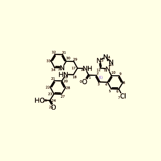 O=C(/C=C/c1cc(Cl)ccc1-n1cnnn1)NC(CNc1ccc(C(=O)O)cc1)Cc1ccccn1